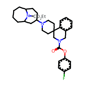 CCOC(=O)N1C2CCCCC1CC(N1CCC3(CC1)CN(C(=O)Oc1ccc(F)cc1)Cc1ccccc13)CC2